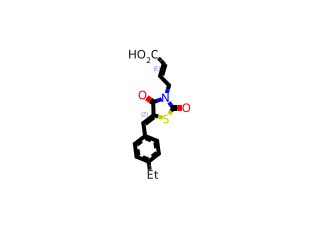 CCc1ccc(/C=C2\SC(=O)N(C/C=C/C(=O)O)C2=O)cc1